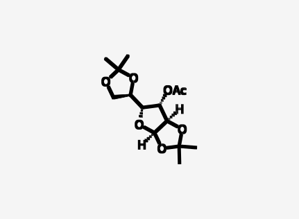 CC(=O)O[C@@H]1[C@H]2OC(C)(C)O[C@H]2O[C@@H]1[C@H]1COC(C)(C)O1